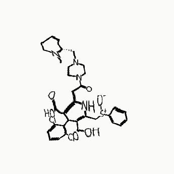 CN1CCCC[C@@H]1CN1CCN(C(=O)CC2=C(C(=O)O)C(c3c(Cl)cccc3Cl)C(C(=O)O)=C(C[S+]([O-])c3ccccc3)N2)CC1